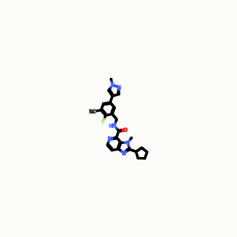 Cn1cc(-c2cc(C#N)c(F)c(CNC(=O)c3nccc4nc(C5CCCC5)n(C)c34)c2)cn1